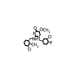 COc1cn(Cc2ccc(F)c(Cl)c2)c(NCc2cccc(Cl)c2C)nc1=O